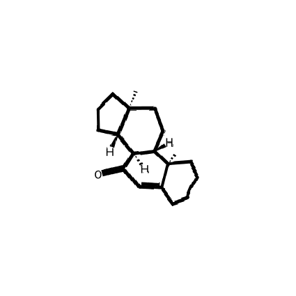 C[C@@]12CCC[C@H]1[C@@H]1C(=O)C=C3CCCC[C@]3(C)[C@H]1CC2